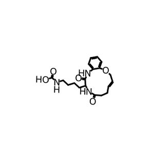 O=C(O)NCCCCC1NC(=O)CC/C=C/COc2ccccc2NC1=O